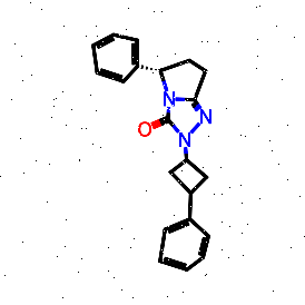 O=c1n(C2CC(c3ccccc3)C2)nc2n1[C@H](c1ccccc1)CC2